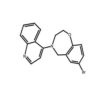 Brc1ccc2c(c1)CN(c1ccnc3ccccc13)CCO2